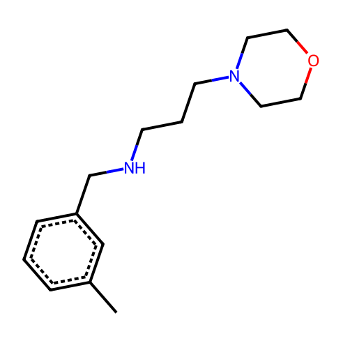 Cc1cccc(CNCCCN2CCOCC2)c1